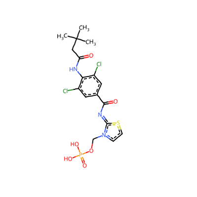 CC(C)(C)CC(=O)Nc1c(Cl)cc(C(=O)N=c2sccn2COP(=O)(O)O)cc1Cl